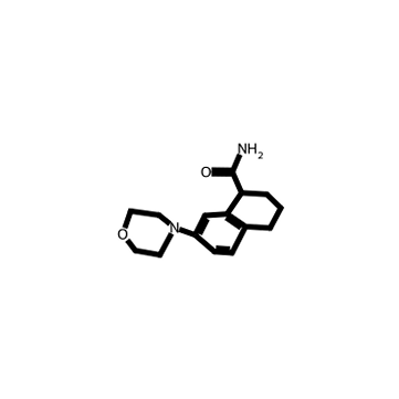 NC(=O)C1CCCc2ccc(N3CCOCC3)cc21